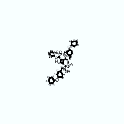 CCCN(Cc1ccc(Oc2ccccc2)cc1)C(=O)[C@@H]1[C@H](C(=O)Nc2nnnn2C(=O)O)C[C@H]1C(=O)N(CCC)Cc1ccc(Oc2ccccc2)cc1